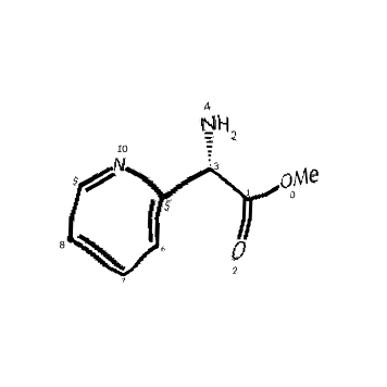 COC(=O)[C@@H](N)c1ccccn1